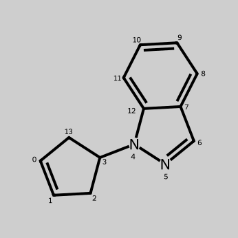 C1=CCC(n2ncc3ccccc32)C1